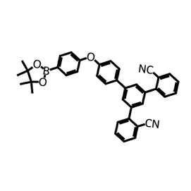 CC1(C)OB(c2ccc(Oc3ccc(-c4cc(-c5ccccc5C#N)cc(-c5ccccc5C#N)c4)cc3)cc2)OC1(C)C